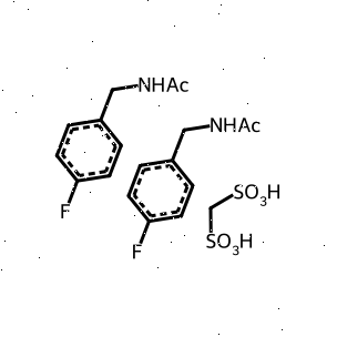 CC(=O)NCc1ccc(F)cc1.CC(=O)NCc1ccc(F)cc1.O=S(=O)(O)CS(=O)(=O)O